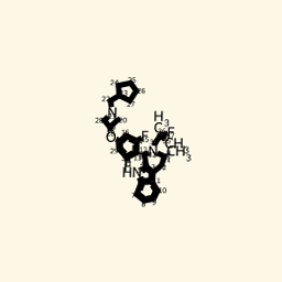 C[C@@H]1Cc2c([nH]c3ccccc23)[C@@H](c2c(F)cc(OC3CN(CC4CCCC4)C3)cc2F)N1CC(C)(C)F